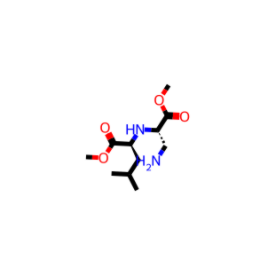 COC(=O)[C@H](CN)N[C@@H](CC(C)C)C(=O)OC